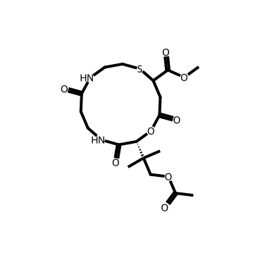 COC(=O)C1CC(=O)O[C@H](C(C)(C)COC(C)=O)C(=O)NCCC(=O)NCCS1